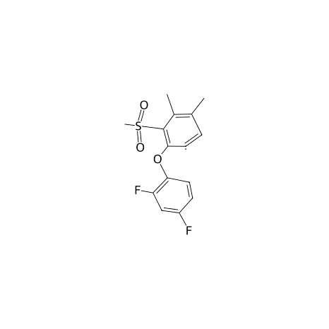 Cc1c[c]c(Oc2ccc(F)cc2F)c(S(C)(=O)=O)c1C